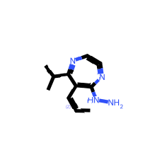 C/C=C\C1=C(NN)N=C=CN=C1C(C)C